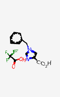 O=C(O)C(F)(F)F.O=C(O)c1cn(Cc2ccccc2)cn1